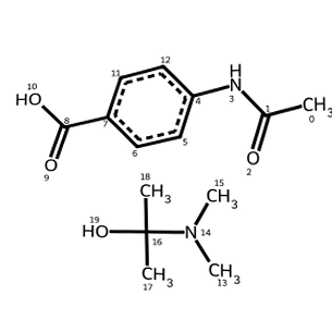 CC(=O)Nc1ccc(C(=O)O)cc1.CN(C)C(C)(C)O